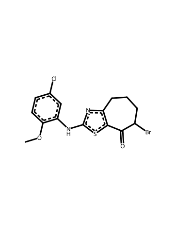 COc1ccc(Cl)cc1Nc1nc2c(s1)C(=O)C(Br)CCC2